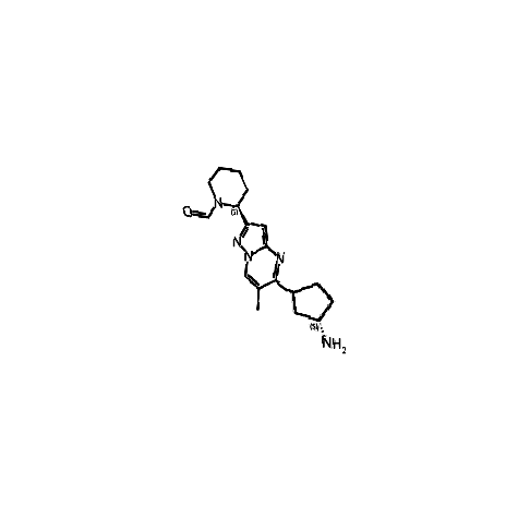 Cc1cn2nc([C@@H]3CCCCN3C=O)cc2nc1C1CC[C@H](N)C1